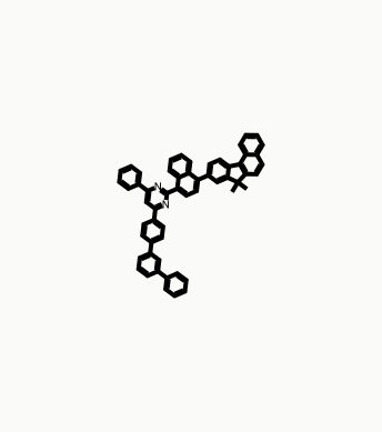 CC1(C)c2cc(-c3ccc(-c4nc(-c5ccccc5)cc(-c5ccc(-c6cccc(-c7ccccc7)c6)cc5)n4)c4ccccc34)ccc2-c2c1ccc1ccccc21